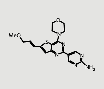 COCC=Cc1cc2nc(-c3cnc(N)nc3)nc(N3CCOCC3)c2s1